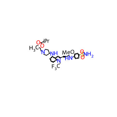 COc1cc(S(N)(=O)=O)ccc1NCC#Cc1cc2c(NC3CCN(CC(C)OC(=O)C(C)C)CC3)cccc2n1CC(F)(F)F